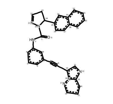 O=C(Nc1cccc(C#Cc2cnc3cccnn23)c1)N1N=CCC1c1ccc2ccccc2c1